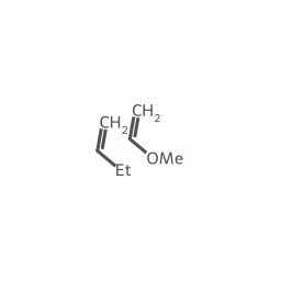 C=CCC.C=COC